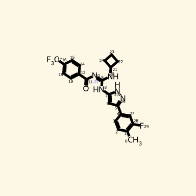 Cc1ccc(-c2cc(N/C(=N\C(=O)c3ccc(C(F)(F)F)cc3)NC3CCC3)[nH]n2)cc1F